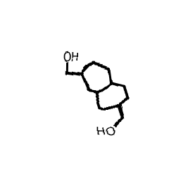 OCC1CCC2CCC(CO)CC2C1